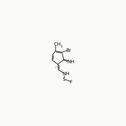 CC1=C(Br)C(=N)/C(=C\NSF)C=C1